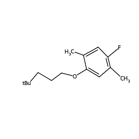 Cc1cc(OCCCC(C)(C)C)c(C)cc1F